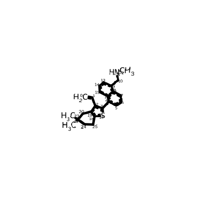 C=Cc1c(-c2cccc3c(CNC)cccc23)sc2c1CC(C)(C)CC2